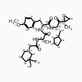 COc1ccc(C[C@H](NC(=O)[C@H](C)NC(=O)CN2CCCC(F)(F)C2)C(=O)N[C@@H](CC2CCCC2)C(=O)[C@]2(C)CO2)cc1